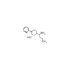 CCCC(N)C1CCN(c2ccccn2)CC1.Cl